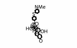 CNc1cccc(Sc2ccc([C@@H]3O[C@@H]4C[C@H]5[C@@H]6CCC7=CC(=O)C=C[C@]7(C)[C@@]6(F)[C@@H](O)C[C@]5(C)[C@]4(C(=O)CO)O3)cc2)c1